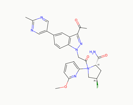 COc1cccc([N+]2(C(=O)Cn3nc(C(C)=O)c4cc(-c5cnc(C)nc5)ccc43)C[C@H](F)C[C@H]2C(N)=O)n1